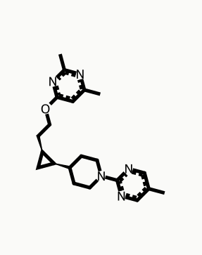 Cc1cnc(N2CCC([C@H]3C[C@H]3CCOc3cc(C)nc(C)n3)CC2)nc1